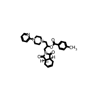 Cc1ccc(C(=O)OC(CN2CCN(c3ccccn3)CC2)CN2C(=O)[C@H]3CC=CC[C@H]3C2=O)cc1